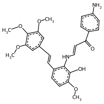 COc1ccc(C=Cc2cc(OC)c(OC)c(OC)c2)c(NC=CC(=O)c2ccc(N)cc2)c1O